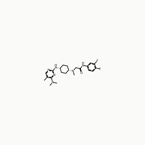 Cc1cnc(N[C@H]2CC[C@@H](N(C)CC(=O)Nc3ccc(F)c(F)c3)CC2)nc1N(C)C